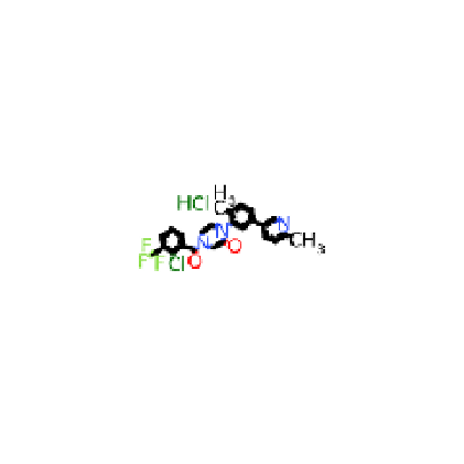 Cc1ccc(-c2ccc(C)c(N3CCN(C(=O)c4cccc(C(F)(F)F)c4Cl)CC3=O)c2)cn1.Cl